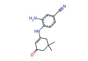 CC1(C)CC(=O)C=C(Nc2ccc(C#N)cc2N)C1